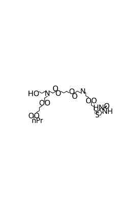 CCCC(=O)OCCCCOC(=O)CCN(CCCO)CCC(=O)OCCCCOC(=O)CCN(C)CCCOC(=O)CCC[C@@H]1SCC2NC(=O)NC21